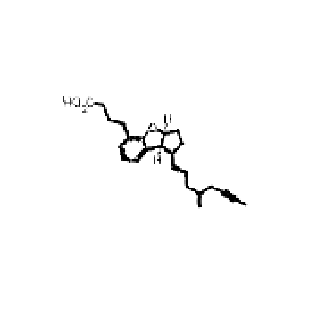 CC#CCC(C)C/C=C/C1CC[C@@H]2Oc3c(CCCC(=O)O)cccc3[C@H]12